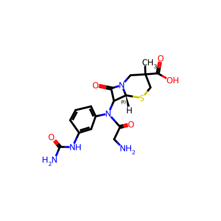 CC1(C(=O)O)CS[C@@H]2C(N(C(=O)CN)c3cccc(NC(N)=O)c3)C(=O)N2C1